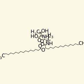 CCCCCCCCCCCCCCCC(=O)OC(CCCCCCCCCCCCCC)C(=O)N[C@@H](C)C(=O)N[C@H](C(=O)O)[C@@H](C)O